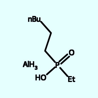 CCCCCCP(=O)(O)CC.[AlH3]